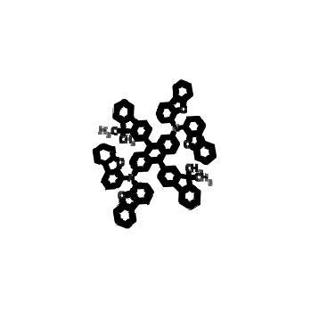 CC1(C)c2ccccc2-c2ccc(-c3c4ccc(N(c5cccc6c5oc5ccccc56)c5cccc6c5oc5ccccc56)cc4c(-c4ccc5c(c4)C(C)(C)c4ccccc4-5)c4ccc(N(c5cccc6c5OC5C=CC=CC65)c5cccc6c5oc5ccccc56)cc34)cc21